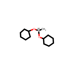 C[SiH](OC1CCCCC1)OC1CCCCC1